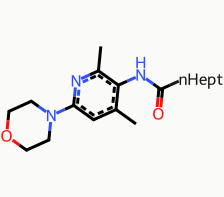 CCCCCCCC(=O)Nc1c(C)cc(N2CCOCC2)nc1C